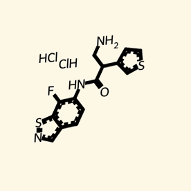 Cl.Cl.NCC(C(=O)Nc1ccc2cnsc2c1F)c1ccsc1